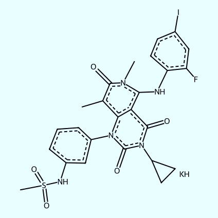 Cc1c(=O)n(C)c(Nc2ccc(I)cc2F)c2c(=O)n(C3CC3)c(=O)n(-c3cccc(NS(C)(=O)=O)c3)c12.[KH]